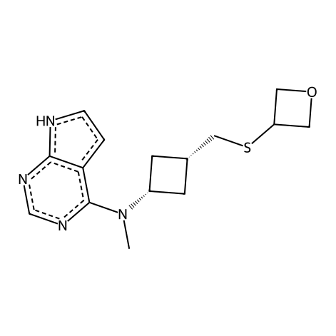 CN(c1ncnc2[nH]ccc12)[C@H]1C[C@@H](CSC2COC2)C1